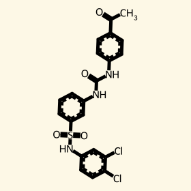 CC(=O)c1ccc(NC(=O)Nc2cccc(S(=O)(=O)Nc3ccc(Cl)c(Cl)c3)c2)cc1